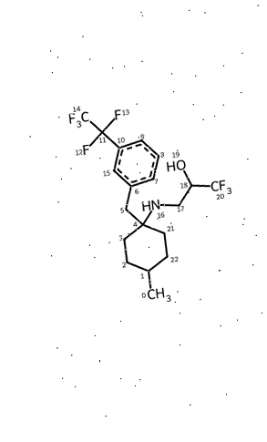 CC1CCC(Cc2cccc(C(F)(F)C(F)(F)F)c2)(NCC(O)C(F)(F)F)CC1